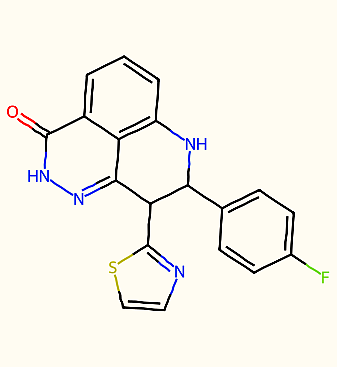 O=c1[nH]nc2c3c(cccc13)NC(c1ccc(F)cc1)C2c1nccs1